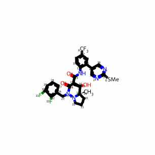 CSc1ncc(-c2cc(C(F)(F)F)ccc2NC(=O)C2=C(O)[C@@]3(C)CCCN3N(Cc3cccc(F)c3F)C2=O)cn1